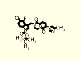 Cc1cn(-c2ccc3n(c2=O)CCN(Cc2cn(C(=O)OC(C)(C)C)c4ccc(Cl)c(F)c24)C3=O)cn1